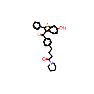 O=C(c1ccc(CCCC(=O)N2CCCCC2)cc1)c1c(-c2ccccc2)sc2cc(O)ccc12